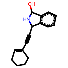 OC1NC(C#CC2=CCCCC2)c2ccccc21